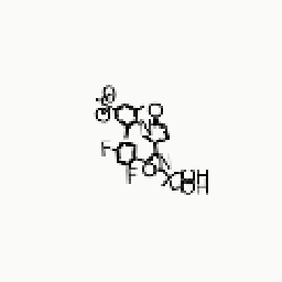 Cc1cc(S(C)(=O)=O)cc(C)c1-n1cc(-c2nc(C(C)(CO)CO)oc2-c2ccc(F)cc2F)ccc1=O